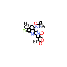 CCCC1(C(=O)NC2CCc3c(C)c(F)cc4nc5c(c2c34)Cn2c-5cc3c(c2=O)COC(=O)C3CC)CCC1